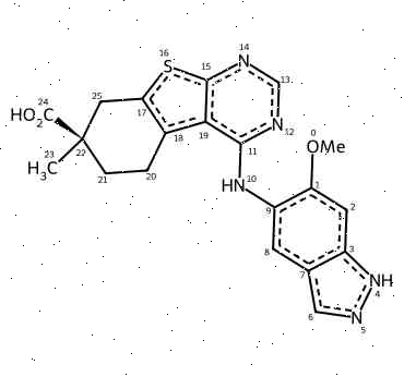 COc1cc2[nH]ncc2cc1Nc1ncnc2sc3c(c12)CC[C@@](C)(C(=O)O)C3